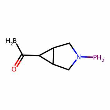 BC(=O)C1C2CN(P)CC21